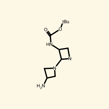 CC(C)(C)OC(=O)NC1C[N]C1N1CC(N)C1